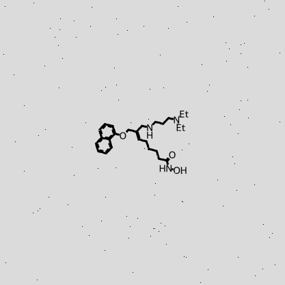 CCN(CC)CCCNCC(=CCCCCC(=O)NO)COc1cccc2ccccc12